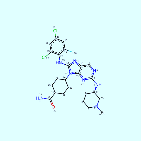 CCN1CCC[C@@H](Nc2ncc3nc(Nc4c(F)cc(Cl)cc4Cl)n(C4CCC(C(N)=O)CC4)c3n2)C1